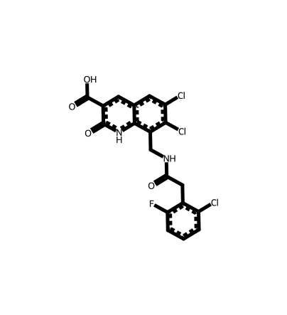 O=C(Cc1c(F)cccc1Cl)NCc1c(Cl)c(Cl)cc2cc(C(=O)O)c(=O)[nH]c12